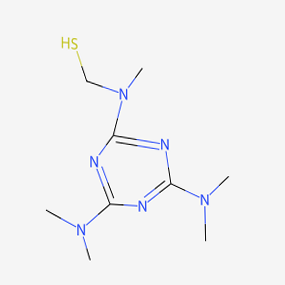 CN(C)c1nc(N(C)C)nc(N(C)CS)n1